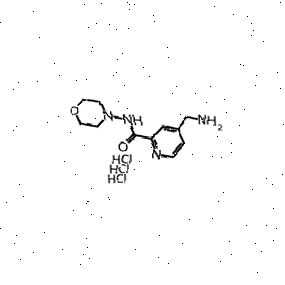 Cl.Cl.Cl.NCc1ccnc(C(=O)NN2CCOCC2)c1